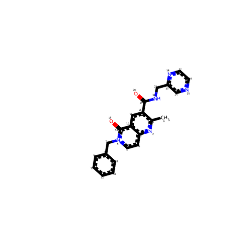 Cc1nc2ccn(Cc3ccccc3)c(=O)c2cc1C(=O)NCc1cnccn1